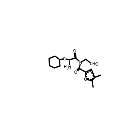 Cc1cc(C(=O)N(C[C]=O)C(=O)[C@@H](N)CC2CCCCC2)oc1C